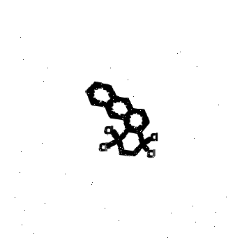 ClC1(Cl)CCC(Cl)(Cl)c2c1ccc1cc3ccccc3cc21